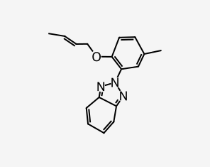 CC=CCOc1ccc(C)cc1-n1nc2ccccc2n1